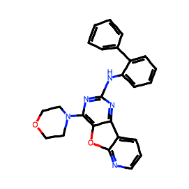 c1ccc(-c2ccccc2Nc2nc(N3CCOCC3)c3oc4ncccc4c3n2)cc1